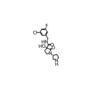 O=C(NCc1cc(F)cc(Cl)c1)C1(O)CCN([C@H]2CCNC2)C1=O